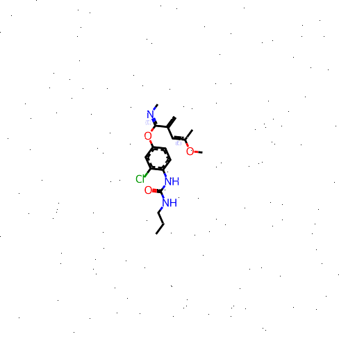 C=C(/C=C(\C)OC)/C(=N\C)Oc1ccc(NC(=O)NCCC)c(Cl)c1